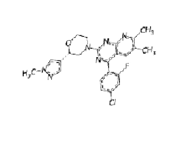 Cc1cc2c(-c3ccc(Cl)cc3F)nc(N3CCO[C@@H](c4cnn(C)c4)C3)nc2nc1C